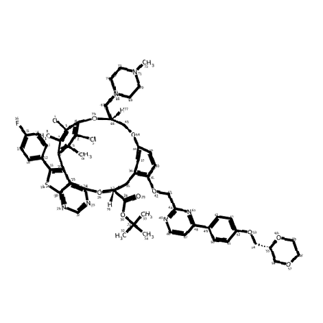 Cc1c(Cl)c2c(Cl)c(C)c1-c1c(-c3ccc(F)cc3)sc3ncnc(c13)O[C@@H](C(=O)OC(C)(C)C)Cc1cc(ccc1OCc1nccc(-c3ccc(OC[C@H]4COCCO4)cc3)n1)OC[C@@H](CN1CCN(C)CC1)O2